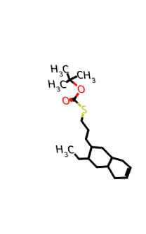 CCC1CC2CC=CCC2CC1CCCSC(=O)OC(C)(C)C